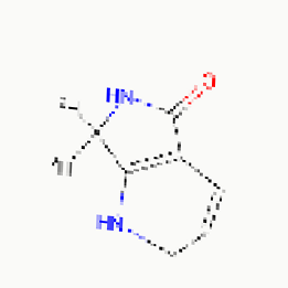 [2H]C1([2H])NC(=O)C2=C1NCC=C2